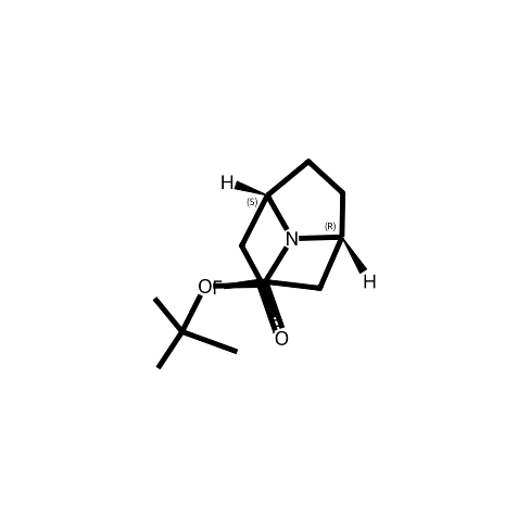 CC(C)(C)OC(=O)N1[C@@H]2CC[C@H]1CC(F)(F)C2